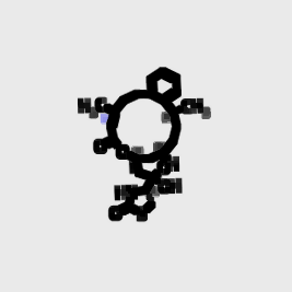 C/C1=C/C(=O)O[C@@H]2C[C@@H](CC[C@H](C)c3ccccc3CC1)O[C@@](O)([C@@H]1CSC(=O)N1)C2